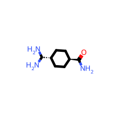 NC(=O)[C@H]1CC[C@H](C(N)N)CC1